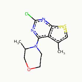 Cc1csc2nc(Cl)nc(N3CCOCC3C)c12